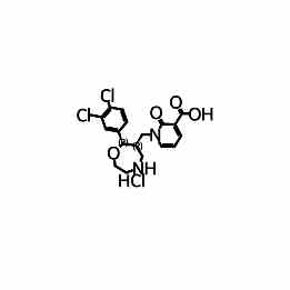 Cl.O=C(O)c1cccn(C[C@H]2CNCCO[C@H]2c2ccc(Cl)c(Cl)c2)c1=O